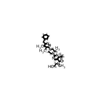 Cc1c(Cc2ccccc2)nnc(N2CCN(c3ncc(C(=O)N(C)CCO)c(C(F)(F)F)n3)[C@H](C)C2)c1C